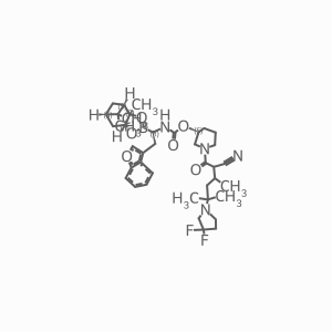 CC(CC(C)(C)N1CCC(F)(F)C1)C(C#N)C(=O)N1CCC[C@H](OC(=O)N[C@@H](Cc2coc3ccccc23)B2O[C@@H]3C[C@@H]4C[C@@H](C4(C)C)[C@]3(C)O2)C1